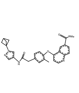 CNC(=O)c1ccc2nccc(Oc3ccc(CC(=O)Nc4cnn(C56CC(C5)C6)c4)cc3C)c2c1